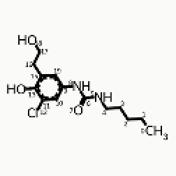 CCCCCNC(=O)Nc1cc(Cl)c(O)c(CCO)c1